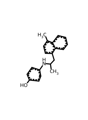 Cc1ccc(CC(C)Nc2ccc(O)cc2)c2ccccc12